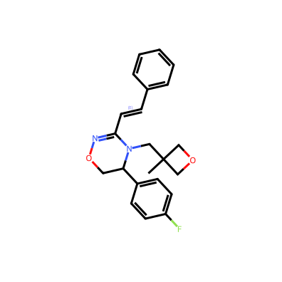 CC1(CN2C(/C=C/c3ccccc3)=NOCC2c2ccc(F)cc2)COC1